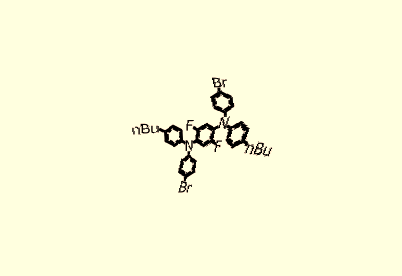 CCCCc1ccc(N(c2ccc(Br)cc2)c2cc(F)c(N(c3ccc(Br)cc3)c3ccc(CCCC)cc3)cc2F)cc1